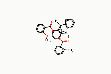 COc1ccccc1C(=O)OC1C(OC(=O)c2ccccc2C)[C@H]2c3ccccc3[C@H]1c1ccccc12